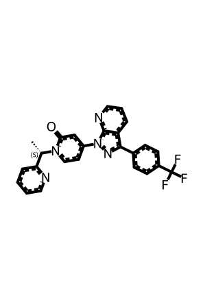 C[C@@H](c1ccccn1)n1ccc(-n2nc(-c3ccc(C(F)(F)F)cc3)c3cccnc32)cc1=O